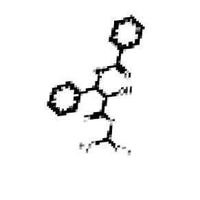 CC(C)OC(=O)C(O)C(NC(=O)c1ccccc1)c1ccccc1